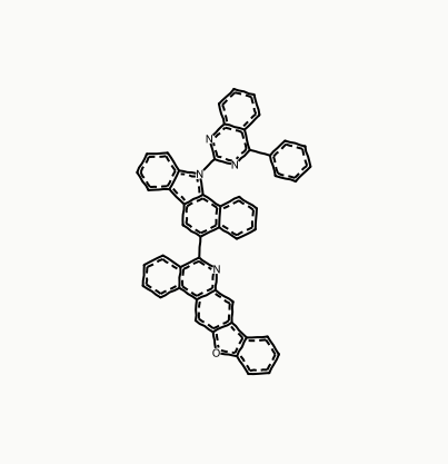 c1ccc(-c2nc(-n3c4ccccc4c4cc(-c5nc6cc7c(cc6c6ccccc56)oc5ccccc57)c5ccccc5c43)nc3ccccc23)cc1